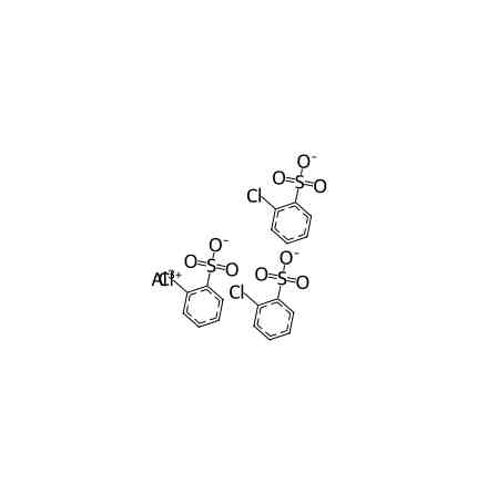 O=S(=O)([O-])c1ccccc1Cl.O=S(=O)([O-])c1ccccc1Cl.O=S(=O)([O-])c1ccccc1Cl.[Al+3]